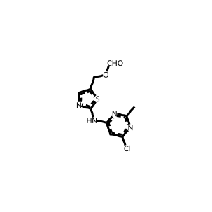 Cc1nc(Cl)cc(Nc2ncc(COC=O)s2)n1